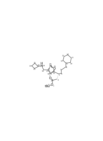 CC(C)(C)OC(=O)C[C@@H](CCCC1CCCCC1)c1nc(CNC2CCC2)no1